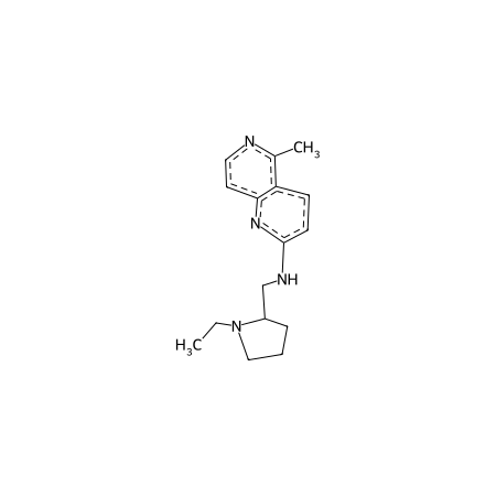 CCN1CCCC1CNc1ccc2c(C)nccc2n1